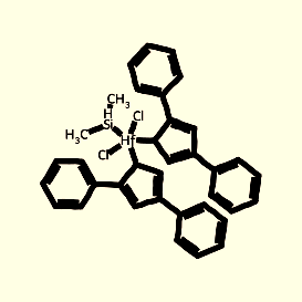 C[SiH](C)[Hf]([Cl])([Cl])([CH]1C=C(c2ccccc2)C=C1c1ccccc1)[CH]1C=C(c2ccccc2)C=C1c1ccccc1